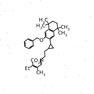 CCC(C(=O)O)=C(C)C=CCCC1CC1c1cc2c(cc1OCc1ccccc1)C(C)(C)CCC2(C)C